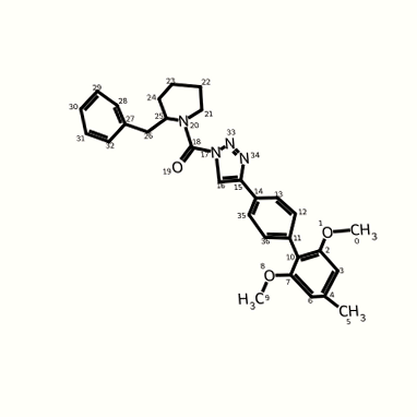 COc1cc(C)cc(OC)c1-c1ccc(-c2cn(C(=O)N3CCCCC3Cc3ccccc3)nn2)cc1